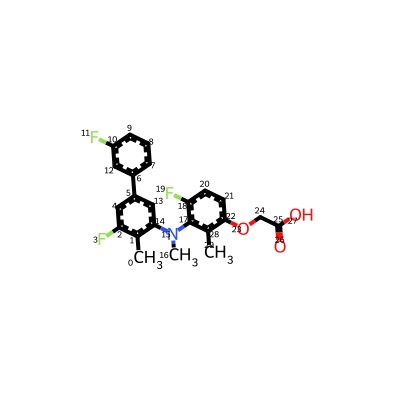 Cc1c(F)cc(-c2cccc(F)c2)cc1N(C)c1c(F)ccc(OCC(=O)O)c1C